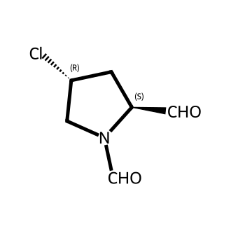 O=C[C@@H]1C[C@@H](Cl)CN1C=O